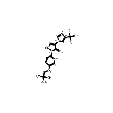 CC(C)(C)COc1ccc(-n2[nH]cc(-n3cnc(C(F)(F)F)c3)c2=O)nc1